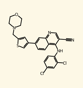 N#Cc1cnc2cc(-c3csc(CN4CCOCC4)c3)ccc2c1Nc1ccc(Cl)cc1Cl